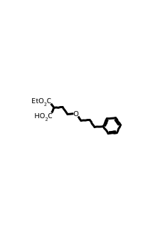 CCOC(=O)C(CCOCCCc1ccccc1)C(=O)O